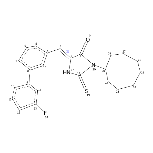 O=C1/C(=C/c2cccc(-c3cccc(F)c3)c2)NC(=S)N1C1CCCCCCC1